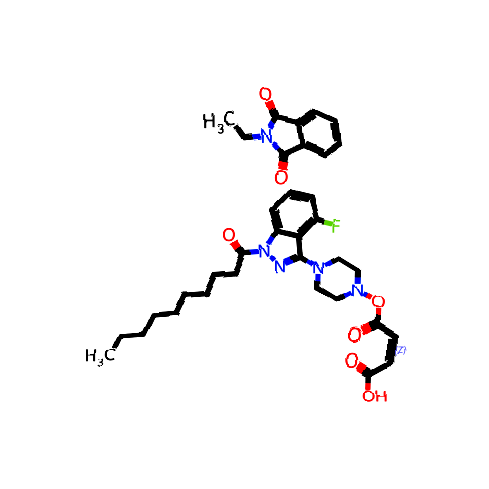 CCCCCCCCCC(=O)n1nc(N2CCN(OC(=O)/C=C\C(=O)O)CC2)c2c(F)cccc21.CCN1C(=O)c2ccccc2C1=O